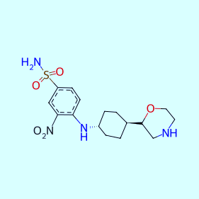 NS(=O)(=O)c1ccc(N[C@H]2CC[C@H](C3CNCCO3)CC2)c([N+](=O)[O-])c1